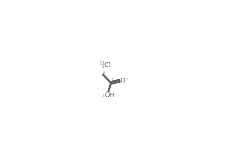 CC(=O)O.[11C]